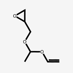 C=COC(C)OCC1CO1